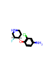 Nc1ccc(O[C@H]2CCNC[C@@H]2F)c(Cl)c1